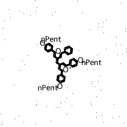 CCCCCOc1ccc(C2=C/C(=C/c3cc(-c4ccc(OCCCCC)cc4)[o+]c(-c4ccc(OCCCCC)cc4)c3)C=C(c3ccccc3)O2)cc1